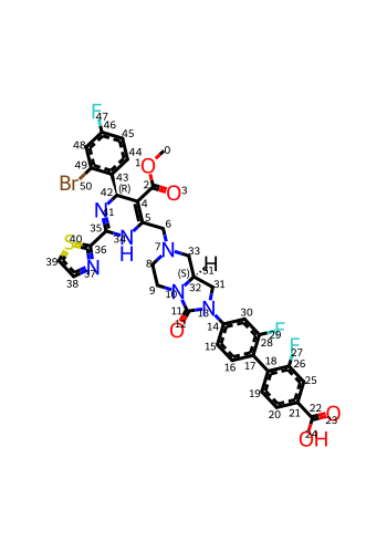 COC(=O)C1=C(CN2CCN3C(=O)N(c4ccc(-c5ccc(C(=O)O)cc5F)c(F)c4)C[C@@H]3C2)NC(c2nccs2)=N[C@H]1c1ccc(F)cc1Br